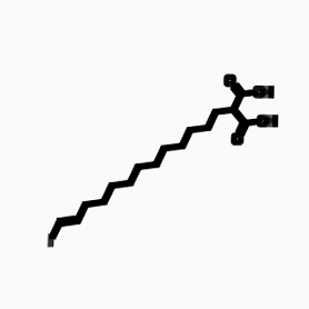 O=C(O)C(CCCCCCCCCCCC=CI)C(=O)O